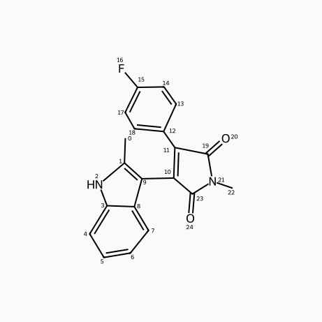 Cc1[nH]c2ccccc2c1C1=C(c2ccc(F)cc2)C(=O)N(C)C1=O